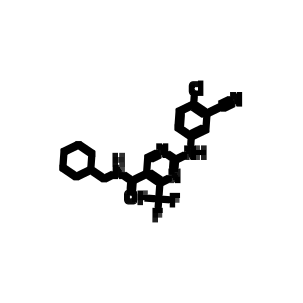 N#Cc1cc(Nc2ncc(C(=O)NCC3CCCCC3)c(C(F)(F)F)n2)ccc1Cl